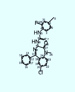 Cc1ccc(NC(=S)NC2N=C(c3ccccc3)c3cc(Cl)ccc3N(C)C2=O)c(F)c1